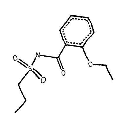 CCCS(=O)(=O)[N]C(=O)c1ccccc1OCC